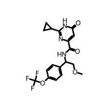 COCC(NC(=O)c1cc(=O)[nH]c(C2CC2)n1)c1ccc(OC(F)(F)F)cc1